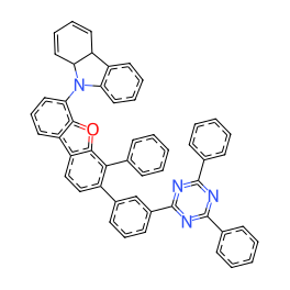 C1=CC2c3ccccc3N(c3cccc4c3oc3c(-c5ccccc5)c(-c5cccc(-c6nc(-c7ccccc7)nc(-c7ccccc7)n6)c5)ccc34)C2C=C1